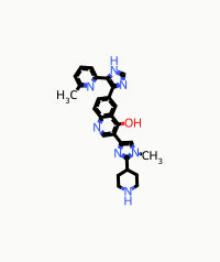 Cc1cccc(-c2[nH]cnc2-c2ccc3ncc(-c4cn(C)c(C5CCNCC5)n4)c(O)c3c2)n1